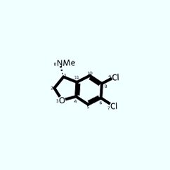 CN[C@H]1COc2cc(Cl)c(Cl)cc21